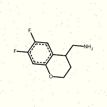 NCC1CCOc2cc(F)c(F)cc21